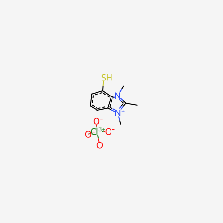 Cc1n(C)c2c(S)cccc2[n+]1C.[O-][Cl+3]([O-])([O-])[O-]